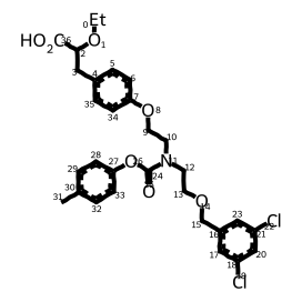 CCOC(Cc1ccc(OCCN(CCOCc2cc(Cl)cc(Cl)c2)C(=O)Oc2ccc(C)cc2)cc1)C(=O)O